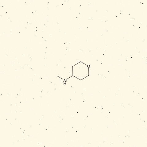 [CH3][AlH][CH]1CCOCC1